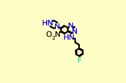 O=[N+]([O-])c1cc2c(NCCCc3ccc(F)cc3)ncnc2cc1N1CCNCC1